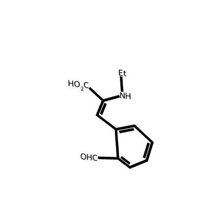 CCNC(=Cc1ccccc1C=O)C(=O)O